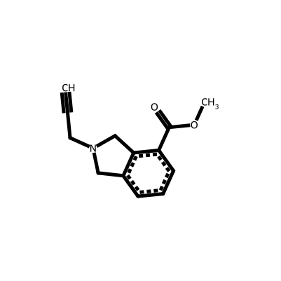 C#CCN1Cc2cccc(C(=O)OC)c2C1